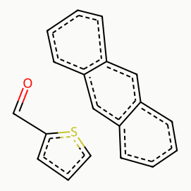 O=Cc1cccs1.c1ccc2cc3ccccc3cc2c1